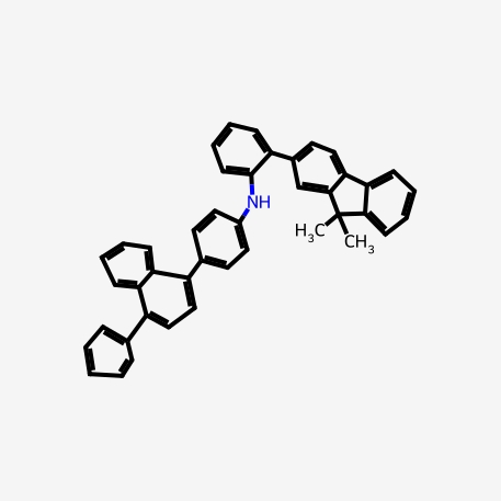 CC1(C)c2ccccc2-c2ccc(-c3ccccc3Nc3ccc(-c4ccc(-c5ccccc5)c5ccccc45)cc3)cc21